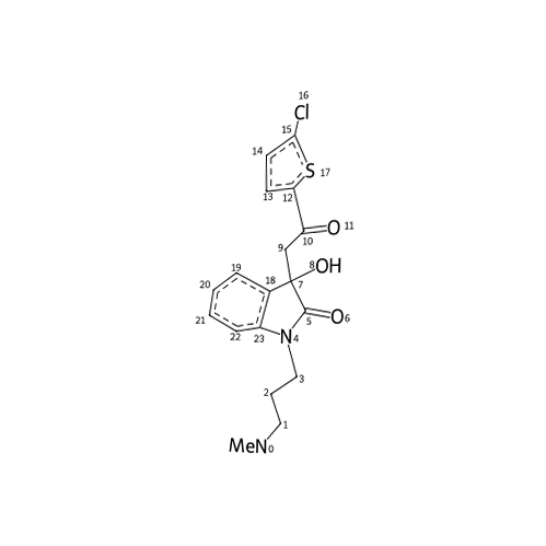 CNCCCN1C(=O)C(O)(CC(=O)c2ccc(Cl)s2)c2ccccc21